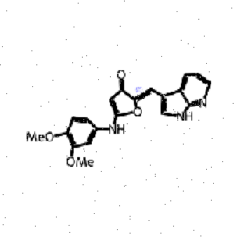 COc1ccc(NC2=CC(=O)/C(=C/c3c[nH]c4ncccc34)O2)cc1OC